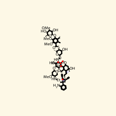 C#C/C=C\C#C[C@H](O[C@@H]1O[C@H](C)[C@@H](NO[C@H]2C[C@H](O)[C@H](SC(=O)c3c(C)c(I)c(O[C@@H]4O[C@@H](C)[C@H](O)[C@@H](OC)[C@H]4O)c(OC)c3OC)[C@@H](C)O2)[C@H](O)[C@H]1O[C@H]1C[C@H](OC)[C@@H](NCC)CO1)C1=C(NC(=O)OC)C(=O)C[C@](C)(O)/C1=C/CSSC(C)(C)c1ccccc1N